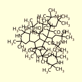 CC1(C)CC(CC(=O)C(=O)C(C2CC(C)(C)NC(C)(C)C2)C(C2CC(C)(C)NC(C)(C)C2)C(C(=O)O)(C2CC(C)(C)NC(C)(C)C2)C(C(=O)O)(C2CC(C)(C)NC(C)(C)C2)C(C(=O)O)(C(=O)O)C2CC(C)(C)NC(C)(C)C2)CC(C)(C)N1